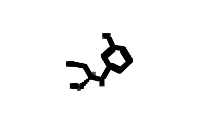 N#Cc1cccc(N[C@@H](CO)C(=O)O)c1